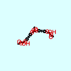 C=CC(=O)OCC(O)COc1ccc(C(C)(C)c2ccc(OCC(COc3ccc(C(C)(C)c4ccc(OCC(O)COC(=O)C=C)cc4)cc3)OC(=O)C=C)cc2)cc1